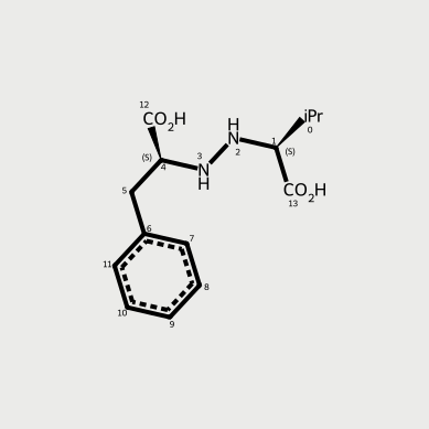 CC(C)[C@H](NN[C@@H](Cc1ccccc1)C(=O)O)C(=O)O